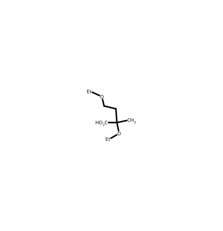 CCOCCC(C)(OCC)C(=O)O